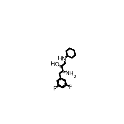 N[C@@H](Cc1cc(F)cc(F)c1)[C@H](O)CNC1CCCCC1